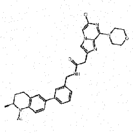 CC(=O)N1c2ccc(-c3cccc(CNC(=O)Cc4cn5cc(Cl)nc(N6CCOCC6)c5n4)c3)cc2CC[C@@H]1C